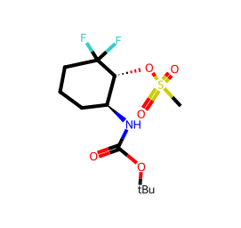 CC(C)(C)OC(=O)N[C@H]1CCCC(F)(F)[C@@H]1OS(C)(=O)=O